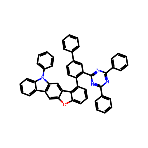 c1ccc(-c2ccc(-c3cccc4oc5cc6c7ccccc7n(-c7ccccc7)c6cc5c34)c(-c3nc(-c4ccccc4)nc(-c4ccccc4)n3)c2)cc1